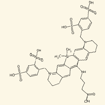 C[Si]1(C)c2cc3c(cc2C(NCCCC(=O)O)=c2cc4c(cc21)=[N+](Cc1ccc(S(=O)(=O)O)cc1S(=O)(=O)O)CCC4)CCCN3Cc1ccc(S(=O)(=O)O)cc1S(=O)(=O)O